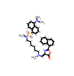 CN(C=C1N=C(c2cccc3ccccc23)OC1=O)CCCCCCN(C)S(=O)(=O)c1cccc2c(N(C)C)cccc12